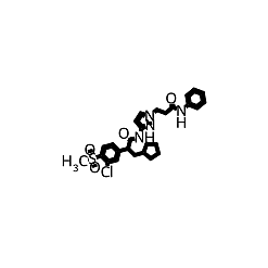 CS(=O)(=O)c1ccc(C(CC2CCCC2)C(=O)Nc2ccn(CCC(=O)Nc3ccccc3)n2)cc1Cl